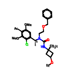 CCO[C@H]1C[C@@](NC(=O)N(CCOCc2ccccc2)[C@H](C)c2cc(OC)c(C(C)=O)c(OC)c2Cl)(C(=O)O)C1